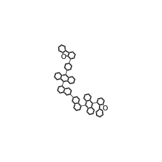 c1cc(-c2c3ccccc3c(-c3ccc(-c4cccc5c4oc4ccccc45)cc3)c3ccccc23)c2ccc(-c3ccc4c(-c5c6ccccc6c(-c6cccc7oc8ccccc8c67)c6ccccc56)cccc4c3)cc2c1